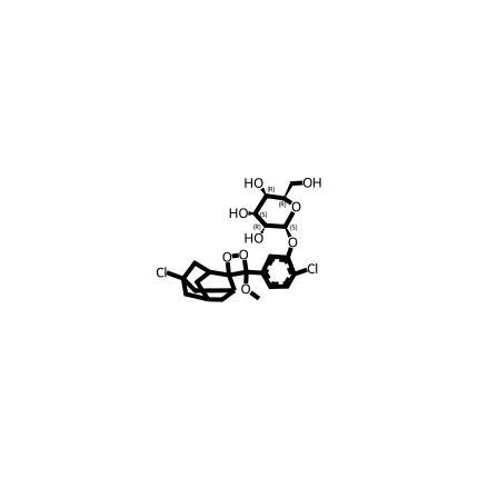 COC1(c2ccc(Cl)c(O[C@@H]3O[C@H](CO)[C@H](O)[C@H](O)[C@H]3O)c2)OOC12C1CC3CC2CC(Cl)(C3)C1